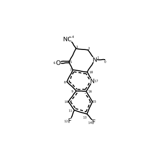 CN1CC(C#N)C(=O)c2cc3cc(F)c(F)cc3nc21